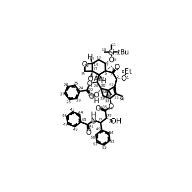 CCO[C@H]1C(=O)[C@]2(C)[C@@H](O[Si](C)(C)C(C)(C)C)C[C@H]3OC[C@@]3(OC(C)=O)[C@H]2[C@H](OC(=O)c2ccccc2)[C@]2(O)C[C@H](OC(=O)[C@H](O)C(NC(=O)c3ccccc3)c3ccccc3)C(C)=C1C2(C)C